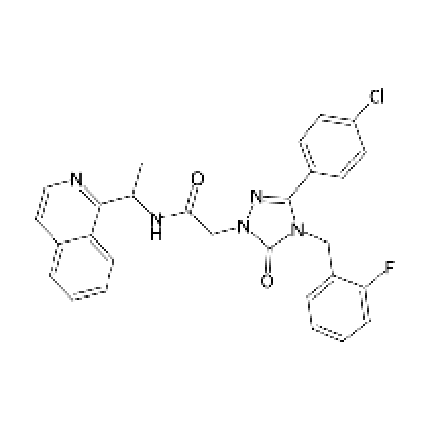 CC(NC(=O)Cn1nc(-c2ccc(Cl)cc2)n(Cc2ccccc2F)c1=O)c1nccc2ccccc12